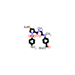 COC(=O)c1ccc(N(C)C(=O)CN(C)C(=O)C2CC(SC(C)=O)CN2S(=O)(=O)c2ccc([N+](=O)[O-])cc2)cc1